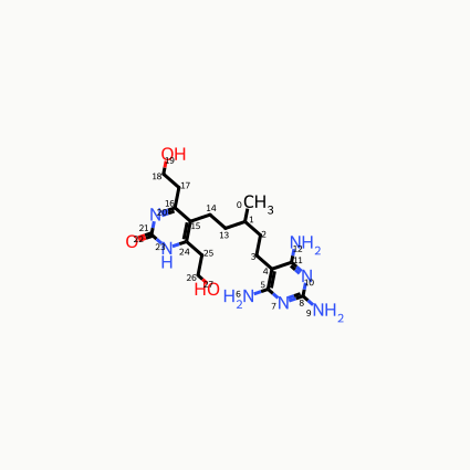 CC(CCc1c(N)nc(N)nc1N)CCc1c(CCO)nc(=O)[nH]c1CCO